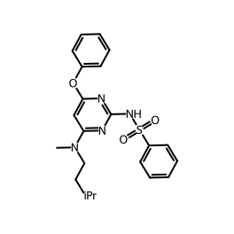 CC(C)CCN(C)c1cc(Oc2ccccc2)nc(NS(=O)(=O)c2ccccc2)n1